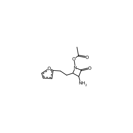 CC(=O)ON1C(=O)C(N)C1CCc1ccco1